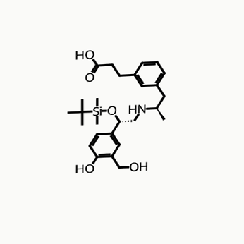 C[C@H](Cc1cccc(CCC(=O)O)c1)NC[C@@H](O[Si](C)(C)C(C)(C)C)c1ccc(O)c(CO)c1